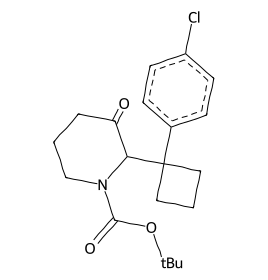 CC(C)(C)OC(=O)N1CCCC(=O)C1C1(c2ccc(Cl)cc2)CCC1